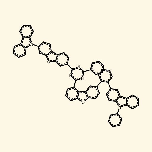 c1ccc(-c2nc(-c3ccc4c(c3)oc3cc(-n5c6ccccc6c6ccccc65)ccc34)nc(-c3cccc4oc5ccc(-c6ccccc6-c6ccc7c(c6)c6ccccc6n7-c6ccccc6)cc5c34)n2)cc1